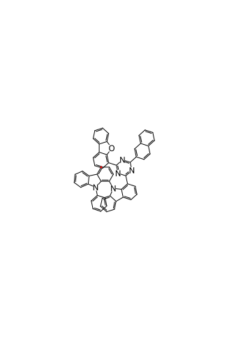 c1ccc(-n2c3ccccc3c3cccc(-n4c5ccccc5c5cccc(-c6nc(-c7ccc8ccccc8c7)nc(-c7cccc8c7oc7ccccc78)n6)c54)c32)cc1